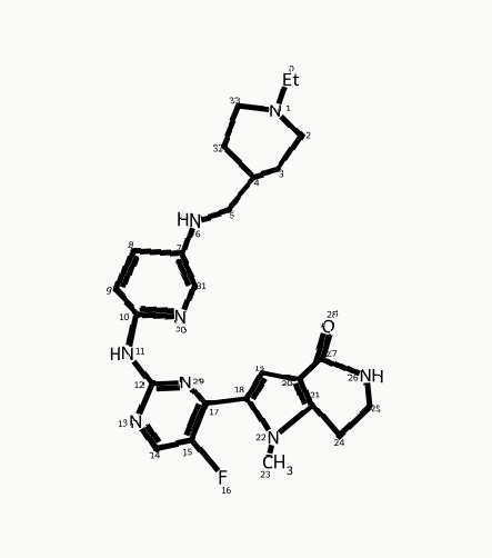 CCN1CCC(CNc2ccc(Nc3ncc(F)c(-c4cc5c(n4C)CCNC5=O)n3)nc2)CC1